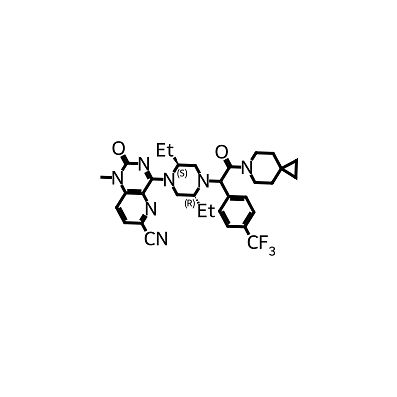 CC[C@H]1CN(C(C(=O)N2CCC3(CC2)CC3)c2ccc(C(F)(F)F)cc2)[C@H](CC)CN1c1nc(=O)n(C)c2ccc(C#N)nc12